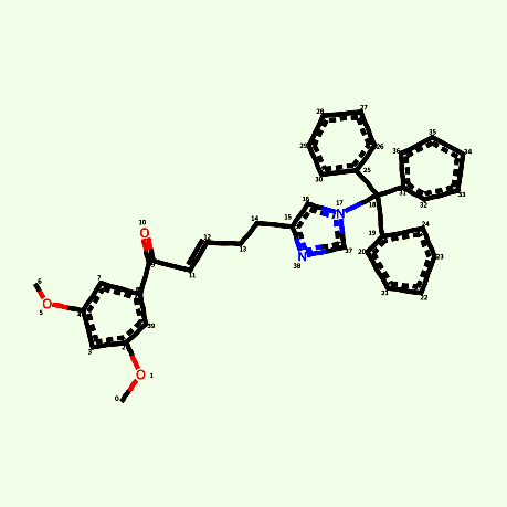 COc1cc(OC)cc(C(=O)C=CCCc2cn(C(c3ccccc3)(c3ccccc3)c3ccccc3)cn2)c1